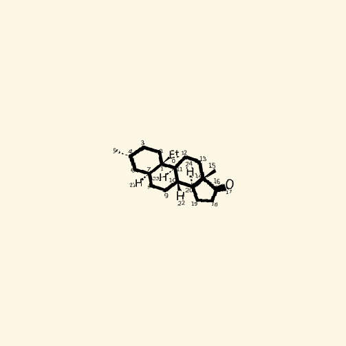 CC[C@]12CC[C@@H](C)C[C@@H]1CC[C@@H]1[C@@H]2CC[C@]2(C)C(=O)CC[C@@H]12